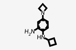 Nc1cc(N2CCC2)ccc1NC1CCC1